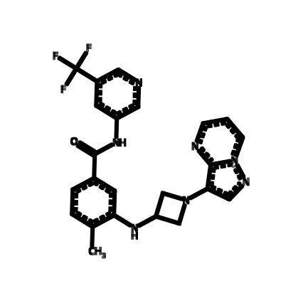 Cc1ccc(C(=O)Nc2cncc(C(F)(F)F)c2)cc1NC1CN(c2cnn3cccnc23)C1